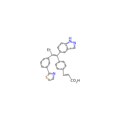 CC/C(=C(/c1ccc(/C=C/C(=O)O)cc1)c1ccc2[nH]ncc2c1)c1cccc(-c2nccs2)c1